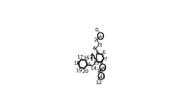 COCCCc1ccc(OCOC)c(Cc2ccccc2)n1